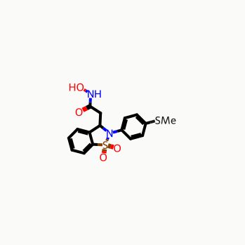 CSc1ccc(N2C(CC(=O)NO)c3ccccc3S2(=O)=O)cc1